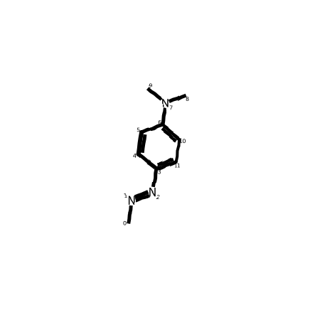 C/N=N/c1ccc(N(C)C)cc1